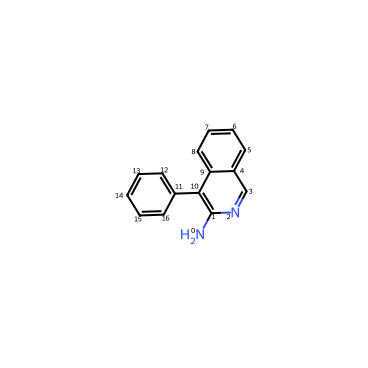 Nc1ncc2ccccc2c1-c1ccccc1